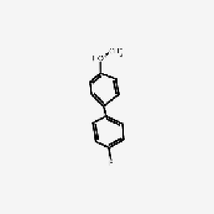 [CH2-][OH+]c1ccc(-c2ccc(F)cc2)cc1